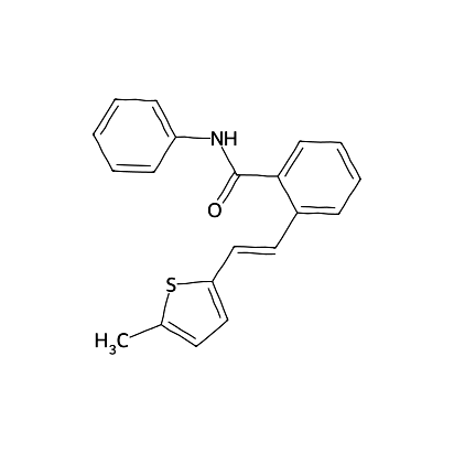 Cc1ccc(C=Cc2ccccc2C(=O)Nc2ccccc2)s1